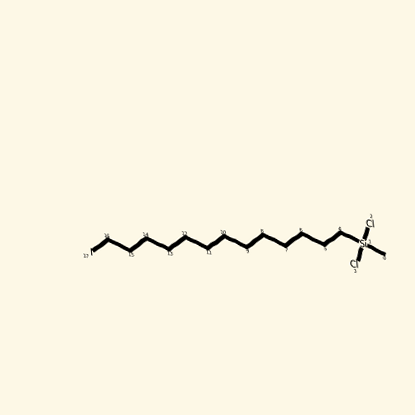 C[Si](Cl)(Cl)CCCCCCCCCCCCCI